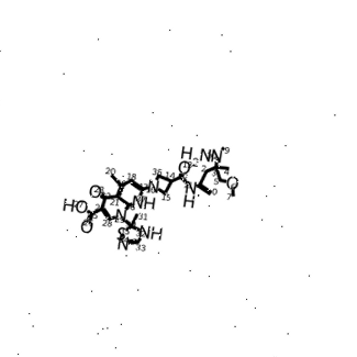 C=C(CC(C)(COC)N(C)N)NC(=O)C1CN(C2=CC(C)=C3C(=O)C(C(=O)O)=CN(C4(C)NC=NS4)C3N2)C1